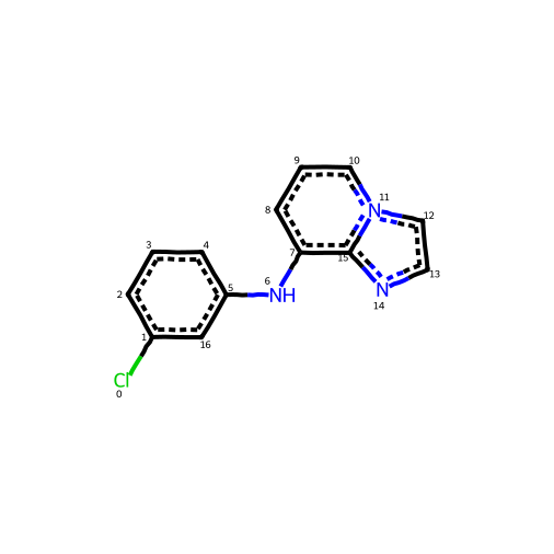 Clc1cccc(Nc2cccn3ccnc23)c1